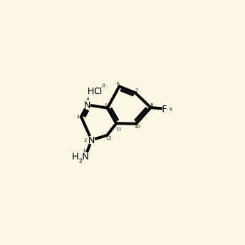 Cl.NN1C=Nc2ccc(F)cc2C1